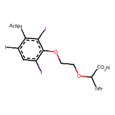 CCCC(OCCOc1c(I)cc(I)c(NC(C)=O)c1I)C(=O)O